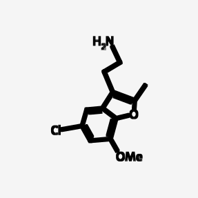 COc1cc(Cl)cc2c(CCN)c(C)oc12